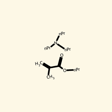 C=C(C)C(=O)OCCC.CCCN(CCC)CCC